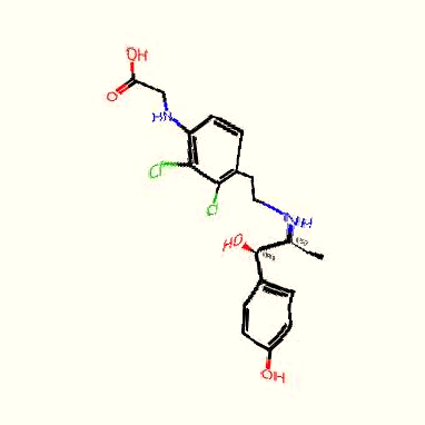 C[C@H](NCCc1ccc(NCC(=O)O)c(Cl)c1Cl)[C@H](O)c1ccc(O)cc1